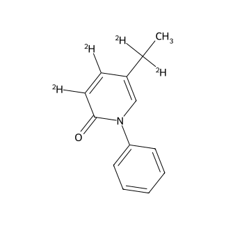 [2H]c1c(C([2H])([2H])C)cn(-c2ccccc2)c(=O)c1[2H]